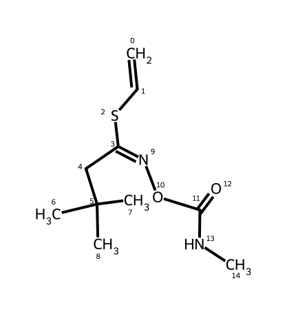 C=CSC(CC(C)(C)C)=NOC(=O)NC